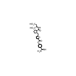 N=C(N)c1ccc(OC(=O)c2ccc(CN3CCC[C@H]3C(=O)N[C@H](CC(=O)O)C(=O)O)o2)cc1